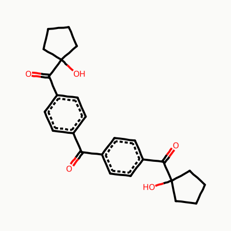 O=C(c1ccc(C(=O)C2(O)CCCC2)cc1)c1ccc(C(=O)C2(O)CCCC2)cc1